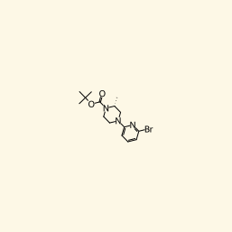 C[C@@H]1CN(c2cccc(Br)n2)CCN1C(=O)OC(C)(C)C